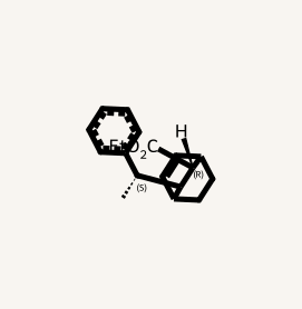 CCOC(=O)[C@@H]1C2C=CC(CC2)C1[C@H](C)c1ccccc1